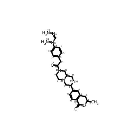 CC1Cc2cc(C3CN4CCN(C(=O)Cc5ccc(N(N)/C=N\N)cc5)CC4CN3)ccc2C(=O)O1